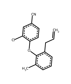 C=CCc1cccc(C)c1Oc1ccc(C#N)cc1Cl